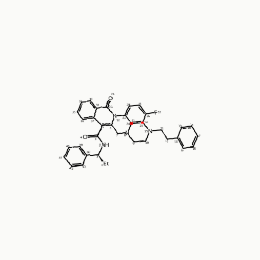 CC[C@H](NC(=O)c1c(CN2CCN(CCc3ccccc3)CC2)n(-c2ccc(F)cc2)c(=O)c2ccccc12)c1ccccc1